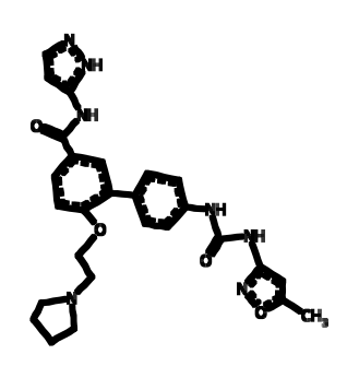 Cc1cc(NC(=O)Nc2ccc(-c3cc(C(=O)Nc4ccn[nH]4)ccc3OCCN3CCCC3)cc2)no1